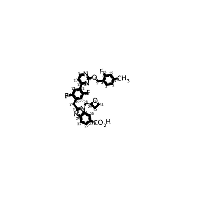 Cc1ccc(COc2nccc(-c3cc(F)c(Cc4nc5ccc(C(=O)O)cc5n4C[C@@H]4CCO4)cc3F)n2)c(F)c1